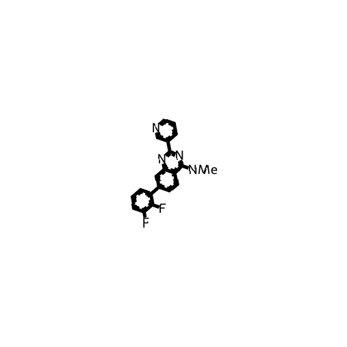 CNc1nc(-c2cccnc2)nc2cc(-c3cccc(F)c3F)ccc12